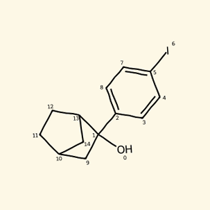 OC1(c2ccc(I)cc2)CC2CCC1C2